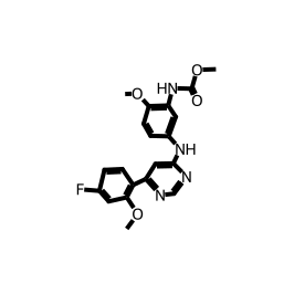 COC(=O)Nc1cc(Nc2cc(-c3ccc(F)cc3OC)ncn2)ccc1OC